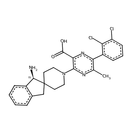 Cc1nc(N2CCC3(CC2)Cc2ccccc2[C@H]3N)c(C(=O)O)nc1-c1cccc(Cl)c1Cl